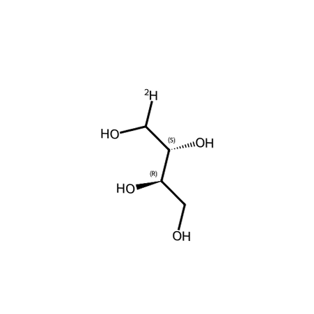 [2H]C(O)[C@H](O)[C@H](O)CO